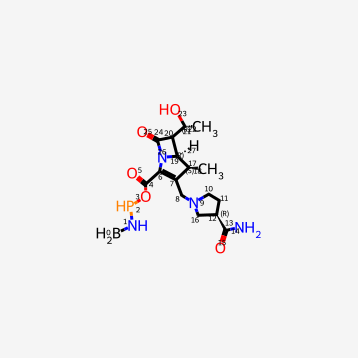 BNPOC(=O)C1=C(CN2CC[C@@H](C(N)=O)C2)[C@H](C)[C@@H]2C([C@@H](C)O)C(=O)N12